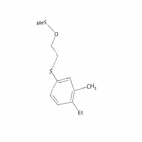 CCc1ccc(SCCOSC)cc1C